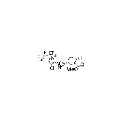 COC(=O)c1cc(-c2cnn(-c3c(Cl)cc(C(F)(C(F)(F)F)C(F)(F)F)n3C)c2)ccc1Cl